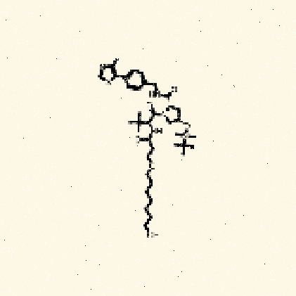 Cc1ncsc1-c1ccc(CNC(=O)[C@@H]2C[C@@H](O[Si](C)(C)C(C)(C)C)CN2C(=O)[C@@H](NC(=O)CCOCCCCCCCO)C(C)(C)C)cc1